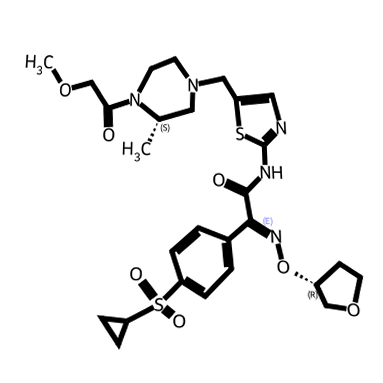 COCC(=O)N1CCN(Cc2cnc(NC(=O)/C(=N/O[C@@H]3CCOC3)c3ccc(S(=O)(=O)C4CC4)cc3)s2)C[C@@H]1C